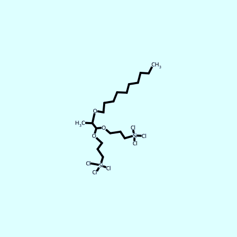 CCCCCCCCCCOC(C)C(OCCC[Si](Cl)(Cl)Cl)OCCC[Si](Cl)(Cl)Cl